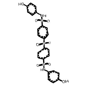 O=S(=O)(Nc1ccc(O)cc1)c1ccc(S(=O)(=O)c2ccc(S(=O)(=O)Nc3ccc(O)cc3)cc2)cc1